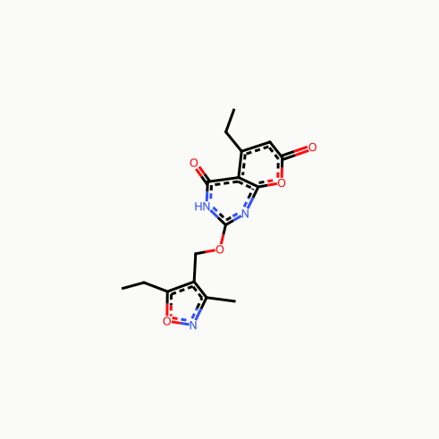 CCc1onc(C)c1COc1nc2oc(=O)cc(CC)c2c(=O)[nH]1